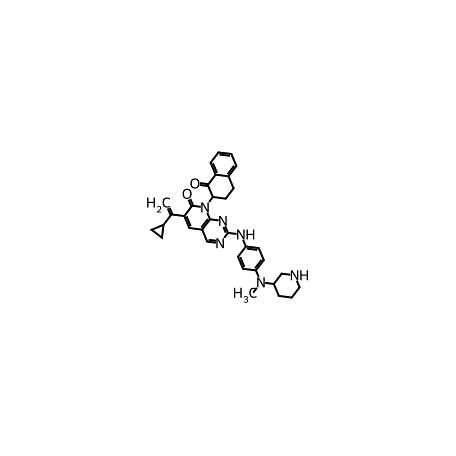 C=C(c1cc2cnc(Nc3ccc(N(C)C4CCCNC4)cc3)nc2n(C2CCc3ccccc3C2=O)c1=O)C1CC1